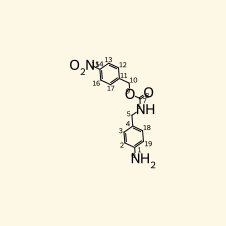 Nc1ccc(CNC(=O)OCc2ccc([N+](=O)[O-])cc2)cc1